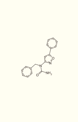 NC(=O)N(Cc1ccccc1)c1cc(-c2ccccc2)on1